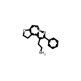 NCCc1c(-c2ccccc2)nn2ccc3c(c12)CCO3